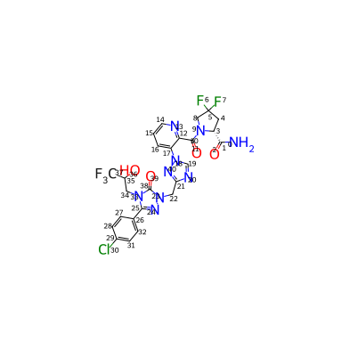 NC(=O)[C@H]1CC(F)(F)CN1C(=O)c1ncccc1-n1cnc(Cn2nc(-c3ccc(Cl)cc3)n(CC(O)C(F)(F)F)c2=O)n1